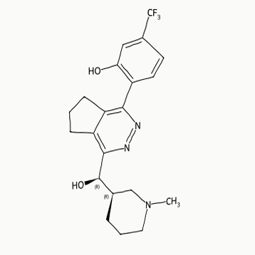 CN1CCC[C@@H]([C@@H](O)c2nnc(-c3ccc(C(F)(F)F)cc3O)c3c2CCC3)C1